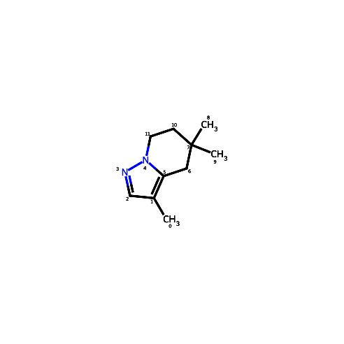 Cc1cnn2c1CC(C)(C)CC2